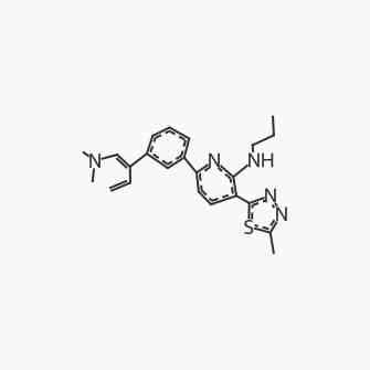 C=C/C(=C\N(C)C)c1cccc(-c2ccc(-c3nnc(C)s3)c(NCCC)n2)c1